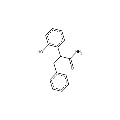 NC(=O)C(Cc1ccccc1)c1ccccc1O